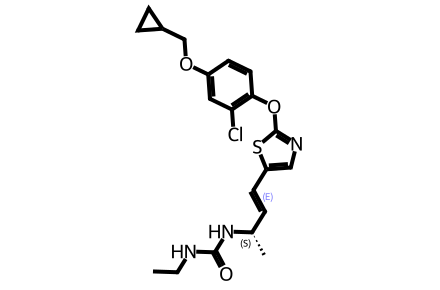 CCNC(=O)N[C@@H](C)/C=C/c1cnc(Oc2ccc(OCC3CC3)cc2Cl)s1